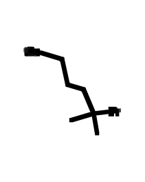 [CH2]C(C)(C)CCCC(C)(C)C(C)C